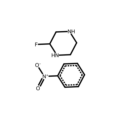 FC1CNCCN1.O=[N+]([O-])c1ccccc1